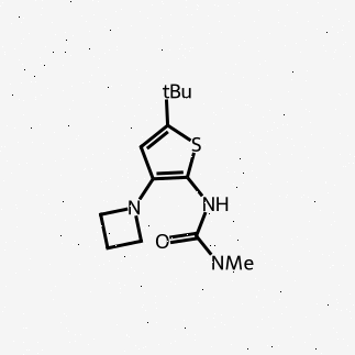 CNC(=O)Nc1sc(C(C)(C)C)cc1N1CCC1